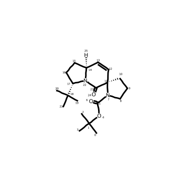 CC(C)(C)OC(=O)N1CCC[C@]12C=C[C@@H]1CC[C@@H](C(C)(C)C)N1C2=O